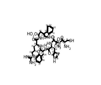 CC(C)(NC(=O)[C@@H](N)CS)C(=O)N[C@@H](Cc1c[nH]cn1)C(=O)N[C@H](Cc1ccccc1)C(=O)N[C@@H](CCCNC(=N)N)C(=O)N[C@@H](Cc1c[nH]c2ccccc12)C(=O)O